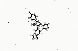 Fc1ccc(-c2nc(-c3ccncc3)c(-c3ccc4nccn4c3)[nH]2)cc1